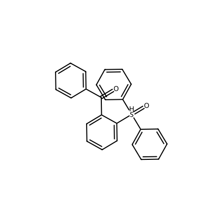 O=C(c1ccccc1)c1ccccc1[SH](=O)(c1ccccc1)c1ccccc1